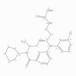 CNCC(C)N(C(=O)c1cccc(N(CCCNC(=O)OC)c2cccc(Cl)c2)c1)C1CCCCC1